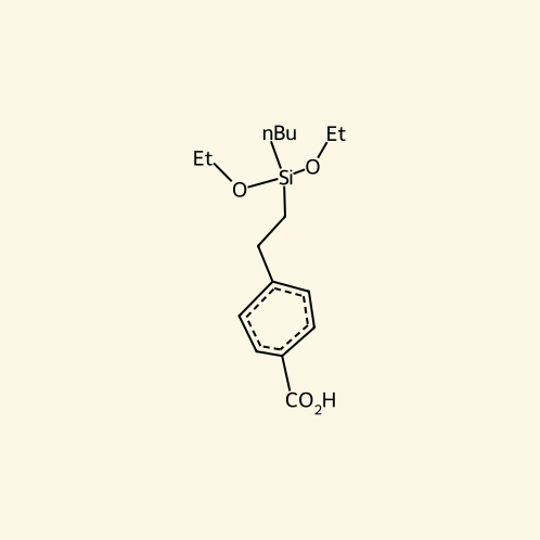 CCCC[Si](CCc1ccc(C(=O)O)cc1)(OCC)OCC